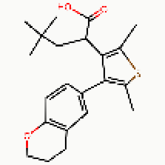 Cc1sc(C)c(C(CC(C)(C)C)C(=O)O)c1-c1ccc2c(c1)CCCO2